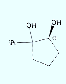 CC(C)C1(O)CCC[C@@H]1O